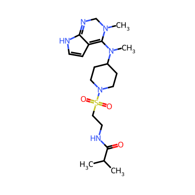 CC(C)C(=O)NCCS(=O)(=O)N1CCC(N(C)C2=c3cc[nH]c3=NCN2C)CC1